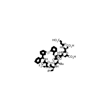 Cc1ccccc1C[C@H](NC(=O)[C@H](CCC(=O)O)NC(=O)[C@H](CC(=O)O)NC(=O)CCC(=O)O)C(=O)N[C@H](C(=O)N[C@@H](CC(C)C)C(=O)N[C@@H](CC(F)(F)F)C(=O)C(=O)NC(c1ccccc1)c1ccccc1)C(C)(C)C